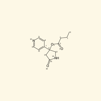 CCCC(=O)OC1(c2ccncc2)CNC(=O)C1